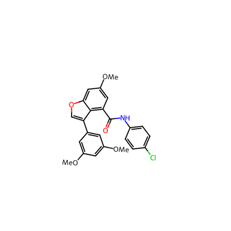 COc1cc(OC)cc(-c2coc3cc(OC)cc(C(=O)Nc4ccc(Cl)cc4)c23)c1